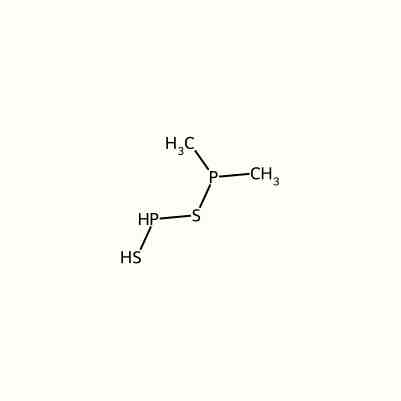 CP(C)SPS